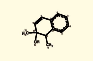 CC1c2ccccc2C=CC1(C)O